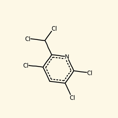 Clc1cc(Cl)c(C(Cl)Cl)nc1Cl